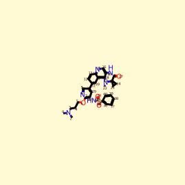 CN(C)CCCOc1ncc(-c2ccc3ncc4c(c3c2)N(C)C2(CC2)C(=O)N4)cc1NS(=O)(=O)c1ccccc1